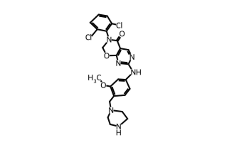 COc1cc(Nc2ncc3c(n2)OCN(c2c(Cl)cccc2Cl)C3=O)ccc1CN1CCNCC1